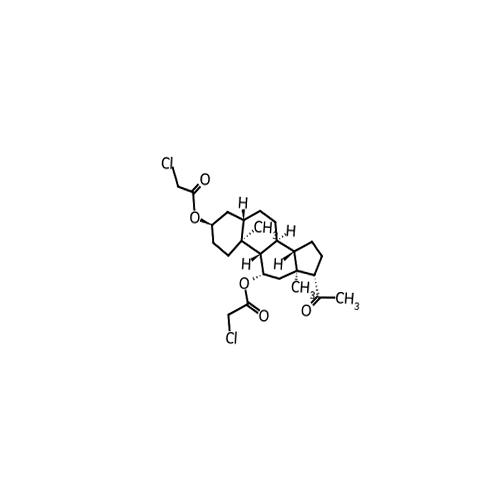 CC(=O)[C@H]1CC[C@H]2[C@@H]3CC[C@H]4C[C@H](OC(=O)CCl)CC[C@]4(C)[C@H]3[C@@H](OC(=O)CCl)C[C@]12C